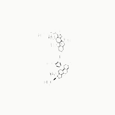 CC#C[C@@]1(O)CC[C@H]2[C@@H]3CCC4=CC(=O)CCC4=C3[C@@H](c3ccc(OCCO[C@H]4CC[C@@]5(C)C(C4)C[C@@H](O)[C@H]4[C@@H]6CC[C@H]([C@H](C)CCC(=O)O)[C@@]6(C)[C@H](O)C[C@@H]45)c(C)c3)C[C@@]21C